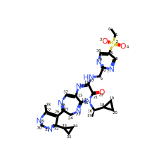 CCS(=O)(=O)c1cnc(CNc2nc3c(n([C@H](C)C4CC4)c2=O)=NCC(c2c(C)ncnc2C2CC2)=NC=3)nc1